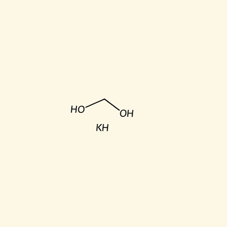 OCO.[KH]